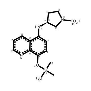 CC(C)(C)[Si](C)(C)Oc1ccc(N[C@H]2CCN(C(=O)O)C2)c2cccnc12